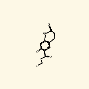 O=C1CCc2cc(C(=O)CCCl)c(Cl)cc2N1